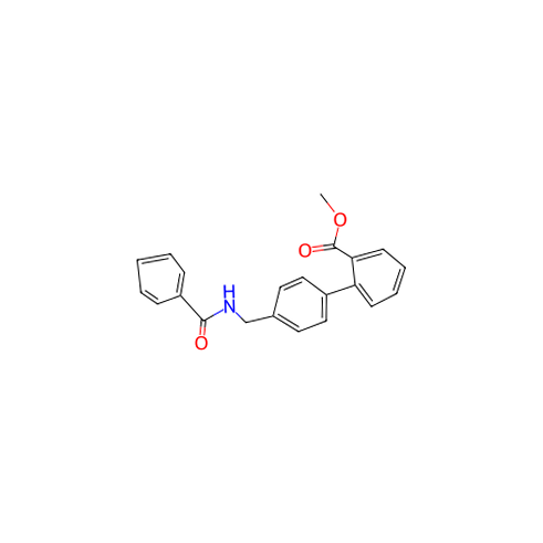 COC(=O)c1ccccc1-c1ccc(CNC(=O)c2ccccc2)cc1